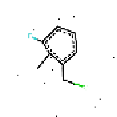 Cc1c(F)cccc1CCl